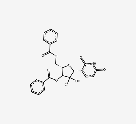 O=C(OC[C@@H]1O[C@H](n2ccc(=O)[nH]c2=O)C(O)(Cl)C1OC(=O)c1ccccc1)c1ccccc1